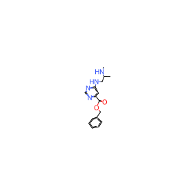 CNC(C)CNc1cc(C(=O)OCc2ccccc2)ncn1